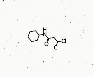 O=C([CH]C(Cl)Cl)NC1CCCCC1